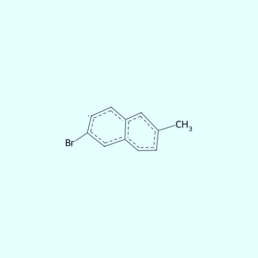 Cc1ccc2cc(Br)[c]cc2c1